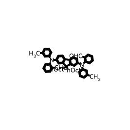 CCCCCCCCC1(CCCCCCCC)c2cc(N(c3cccc(C)c3)c3ccccc3C=O)ccc2-c2ccc(N(c3cccc(C)c3)c3ccccc3C=O)cc21